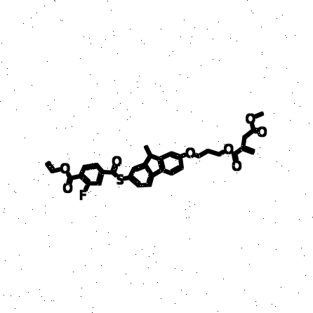 C=COC(=O)c1ccc(C(=O)Sc2ccc3c(c2)C(C)c2cc(OCCCOC(=O)C(=C)CC(=O)OC)ccc2-3)cc1F